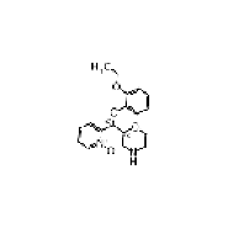 CCOc1ccccc1O[C@@H](c1cccc[n+]1[O-])[C@@H]1CNCCO1